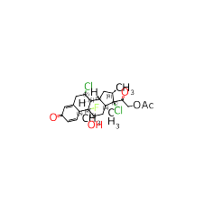 CC(=O)OCC(=O)[C@@]1(Cl)[C@H](C)C[C@H]2[C@@H]3[C@H](Cl)CC4=CC(=O)C=C[C@]4(C)[C@@]3(F)[C@@H](O)C[C@@]21C